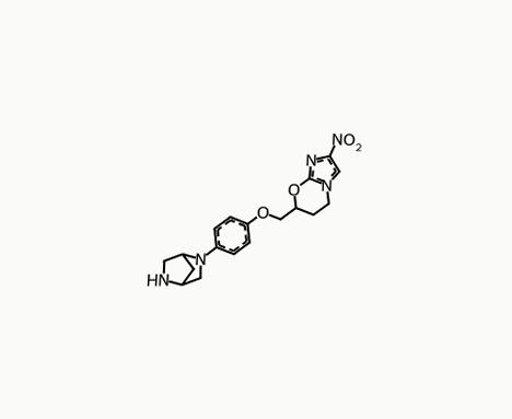 O=[N+]([O-])c1cn2c(n1)OC(COc1ccc(N3CC4CC3CN4)cc1)CC2